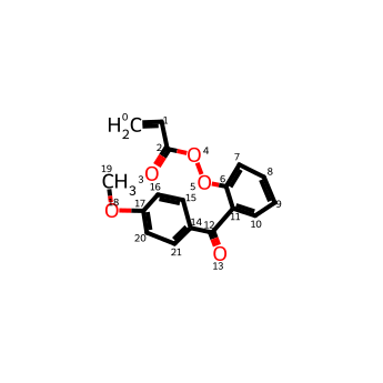 C=CC(=O)OOc1ccccc1C(=O)c1ccc(OC)cc1